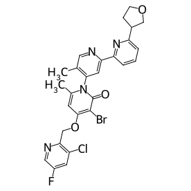 Cc1cnc(-c2cccc(C3CCOC3)n2)cc1-n1c(C)cc(OCc2ncc(F)cc2Cl)c(Br)c1=O